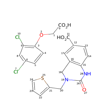 O=C(O)COc1ccc(Cl)cc1Cl.O=C(O)c1ccc2c(c1)CN(Cc1cccs1)C(=O)N2